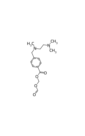 CN(C)CCN(C)Cc1ccc(C(=O)OCOC=O)cc1